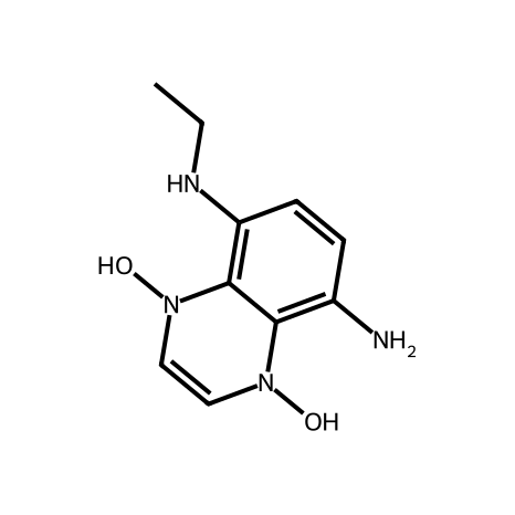 CCNc1ccc(N)c2c1N(O)C=CN2O